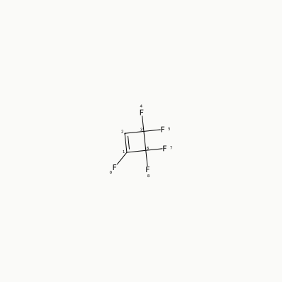 FC1=CC(F)(F)C1(F)F